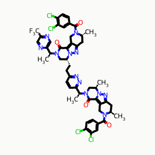 C[C@@H]1Cc2nn3c(c2CN1C(=O)c1ccc(Cl)c(Cl)c1)C(=O)N([C@@H](C)c1cnc(C(F)(F)F)cn1)C[C@H]3CCc1ccc([C@H](C)N2C[C@@H](C)n3nc4c(c3C2=O)CN(C(=O)c2ccc(Cl)c(Cl)c2)[C@H](C)C4)nn1